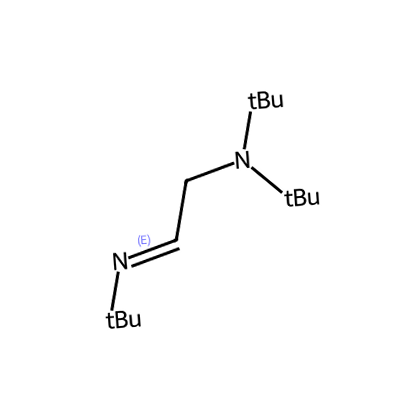 CC(C)(C)/N=C/CN(C(C)(C)C)C(C)(C)C